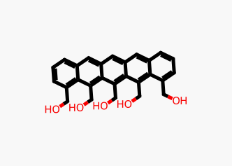 OCc1cccc2cc3cc4cc5cccc(CO)c5c(CO)c4c(CO)c3c(CO)c12